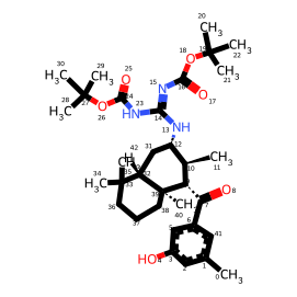 Cc1cc(O)cc(C(=O)[C@H]2[C@H](C)[C@@H](N/C(=N\C(=O)OC(C)(C)C)NC(=O)OC(C)(C)C)C[C@H]3C(C)(C)CCC[C@]23C)c1